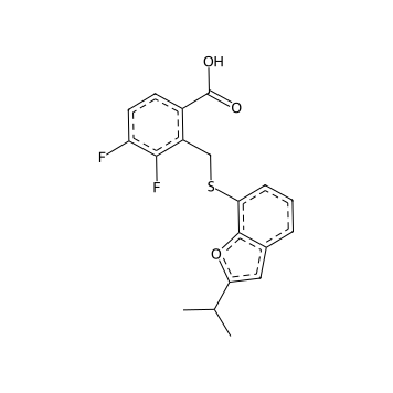 CC(C)c1cc2cccc(SCc3c(C(=O)O)ccc(F)c3F)c2o1